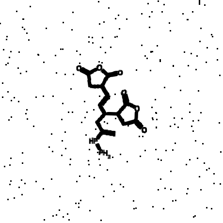 C=C(CC(C=CC1CC(=O)OC1=O)C1CC(=O)OC1=O)PP